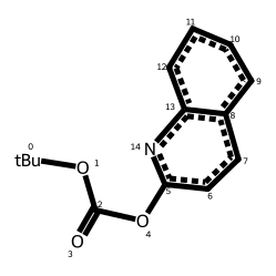 CC(C)(C)OC(=O)Oc1ccc2ccccc2n1